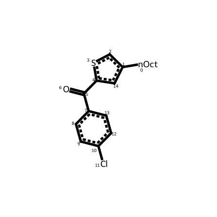 CCCCCCCCc1csc(C(=O)c2ccc(Cl)cc2)c1